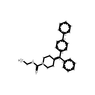 CCOC(=O)N1CCC(=C(c2ccccc2)c2ccc(-c3ccccc3)cc2)CC1